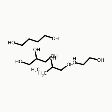 C.CC(O)CO.OCC(O)CO.OCCCCO.OCCO